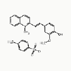 COc1cc(/C=C/c2ccc3ccccc3[n+]2C)ccc1O.Cc1ccc(S(=O)(=O)[O-])cc1